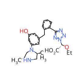 CCO[C@H](C(=O)O)n1nnc(-c2ccccc2Cc2cc(O)cc(N3C[C@@H](C)NC[C@@H]3C)c2)n1